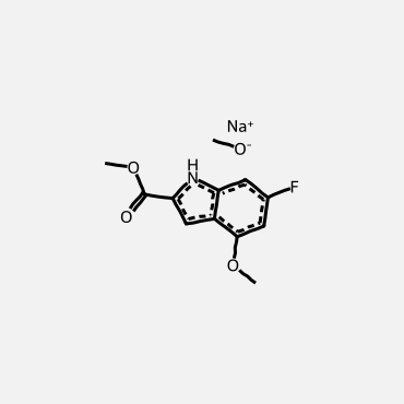 COC(=O)c1cc2c(OC)cc(F)cc2[nH]1.C[O-].[Na+]